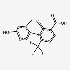 Cc1cc(O)ncc1-n1c(C(F)(F)F)ccc(C(=O)O)c1=O